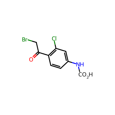 O=C(O)Nc1ccc(C(=O)CBr)c(Cl)c1